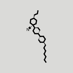 CCCCCCC[C@H]1CC[C@H]([C@H]2CC[C@H]([C@]3(C#N)CC[C@H](CCC)CC3)CC2)CC1